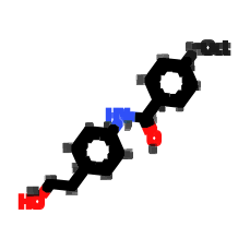 CCCCCCCCc1ccc(C(=O)Nc2ccc(CCO)cc2)cc1